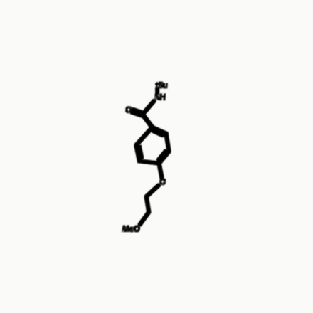 COCCOc1ccc(C(=O)NC(C)(C)C)cc1